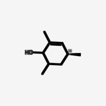 CC1=C[C@@H](C)CC(C)C1O